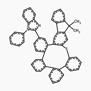 CC1(C)c2ccccc2-c2cc3c(cc21)Sc1ccccc1-c1ccccc1-c1ccccc1-c1ccc(-c2nc4ccccc4n2-c2ccccc2)cc1-3